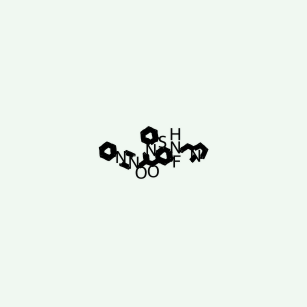 CN1CCCC1CCNc1c(F)cc2c(=O)c(C(=O)N3CCN(c4ccccc4)CC3)cn3c2c1Sc1ccccc1-3